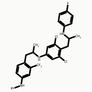 CC(C)Nc1ccc(CC(C)Nc2cc(Cl)c(CC(C)Nc3ccc(F)cc3)c(Cl)c2)c(C(F)(F)F)c1